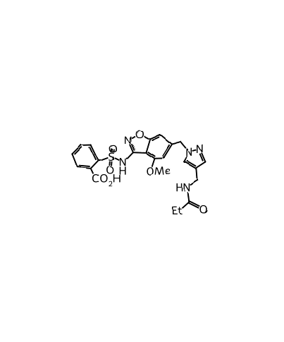 CCC(=O)NCc1cnn(Cc2cc(OC)c3c(NS(=O)(=O)c4ccccc4C(=O)O)noc3c2)c1